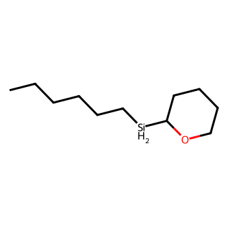 CCCCCC[SiH2]C1CCCCO1